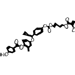 C=C(Cl)C(=O)OCCCCOC(=O)Oc1ccc(C(Oc2ccc(OC(=O)c3ccc(O)cc3)c(C)c2)=C2CC2)cc1